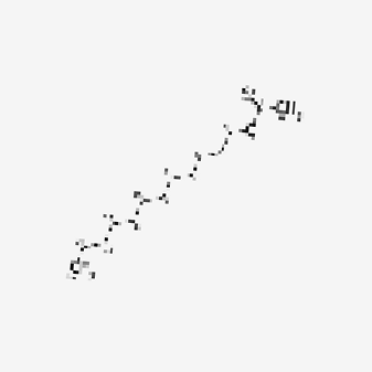 CC(=S)OCCCCCCCCCCCC(F)(F)F